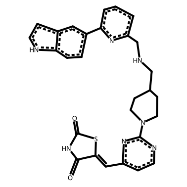 O=C1NC(=O)C(=Cc2ccnc(N3CCC(CNCc4cccc(-c5ccc6[nH]ccc6c5)n4)CC3)n2)S1